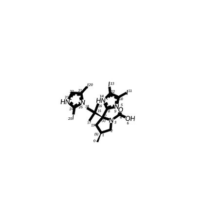 C[C@@H]1CN(C(=O)O)[C@](c2nc(I)c(I)[nH]2)(C(C)(C)C)C1.Ic1c[nH]c(I)n1